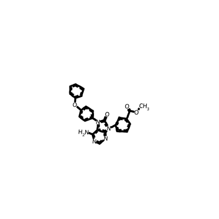 COC(=O)c1cccc(-n2c(=O)n(-c3ccc(Oc4ccccc4)cc3)c3c(N)ncnc32)c1